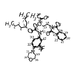 C=CCC(CCCC)OC(=O)N(C[C@@H](CN1C(=O)c2ccccc2C1=O)OC(C)=O)c1ccc(N2CCOCC2)c(F)c1